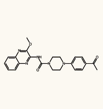 COc1nc2ccccc2nc1NC(=O)N1CCN(c2ccc(C(C)=O)cc2)CC1